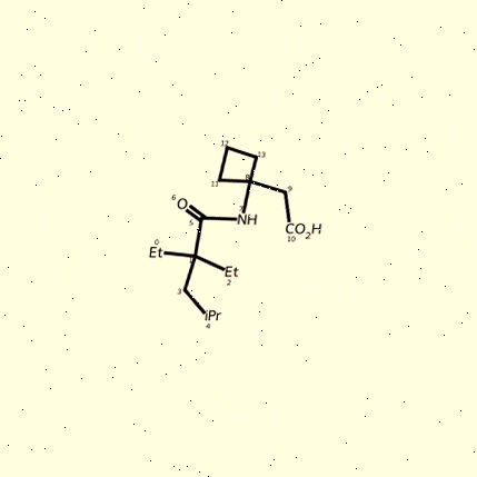 CCC(CC)(CC(C)C)C(=O)NC1(CC(=O)O)CCC1